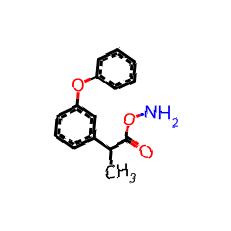 CC(C(=O)ON)c1cccc(Oc2ccccc2)c1